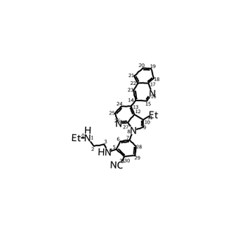 CCNCCNc1cc(-n2cc(CC)c3c(-c4cnc5ccccc5c4)ccnc32)ccc1C#N